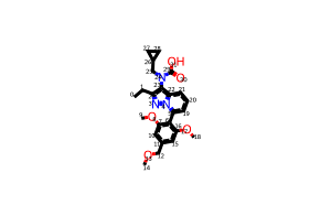 CCc1nn2c(-c3c(OC)cc(COC)cc3OC)cccc2c1N(CC1CC1)C(=O)O